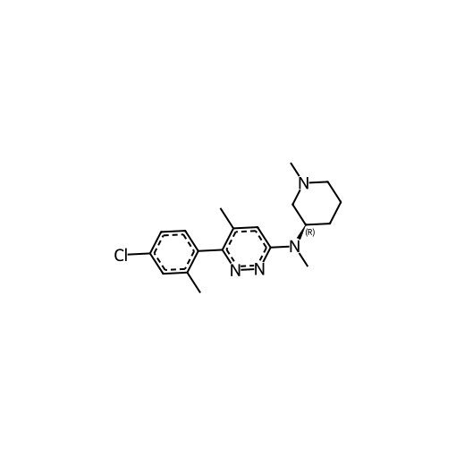 Cc1cc(Cl)ccc1-c1nnc(N(C)[C@@H]2CCCN(C)C2)cc1C